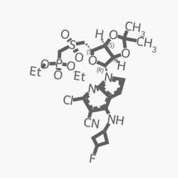 CCOP(=O)(CS(=O)(=O)C[C@H]1O[C@@H](n2ccc3c(NC4CC(F)C4)c(C#N)c(Cl)nc32)[C@@H]2OC(C)(C)O[C@@H]21)OCC